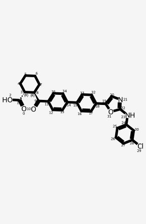 O=C(O)[C@@H]1CCCC[C@H]1C(=O)c1ccc(-c2ccc(-c3cnc(Nc4cccc(Cl)c4)o3)cc2)cc1